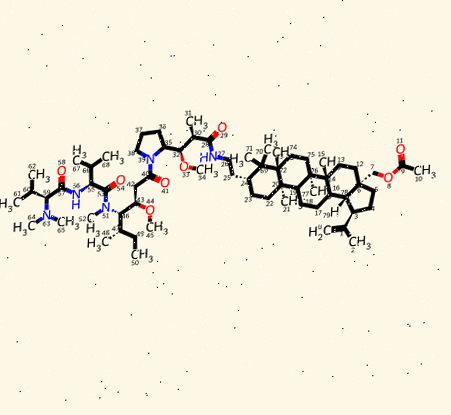 C=C(C)[C@@H]1CC[C@]2(COC(C)=O)CC[C@]3(C)C(CCC4[C@@]5(C)CC[C@H](CCNC(=O)[C@H](C)[C@@H](OC)C6CCCN6C(=O)C[C@@H](OC)[C@H]([C@@H](C)CC)N(C)C(=O)[C@@H](NC(=O)[C@H](C(C)C)N(C)C)C(C)C)C(C)(C)[C@]5(C)CC[C@]43C)[C@@H]12